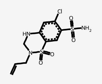 C=CCN1CNc2cc(Cl)c(S(N)(=O)=O)cc2S1(=O)=O